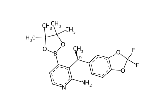 C[C@@H](c1ccc2c(c1)OC(F)(F)O2)c1c(B2OC(C)(C)C(C)(C)O2)ccnc1N